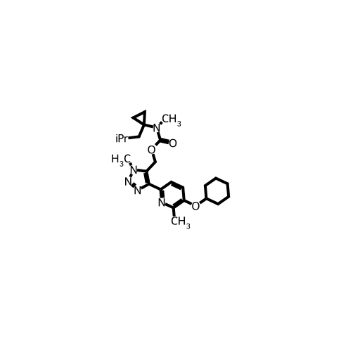 Cc1nc(-c2nnn(C)c2COC(=O)N(C)C2(CC(C)C)CC2)ccc1OC1CCCCC1